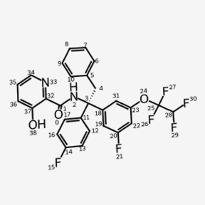 O=C(N[C@](Cc1ccccc1)(c1ccc(F)cc1)c1cc(F)cc(OC(F)(F)C(F)F)c1)c1ncccc1O